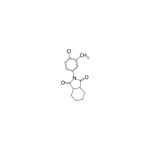 Cc1cc(N2C(=O)C3CCCCC3C2=O)ccc1Cl